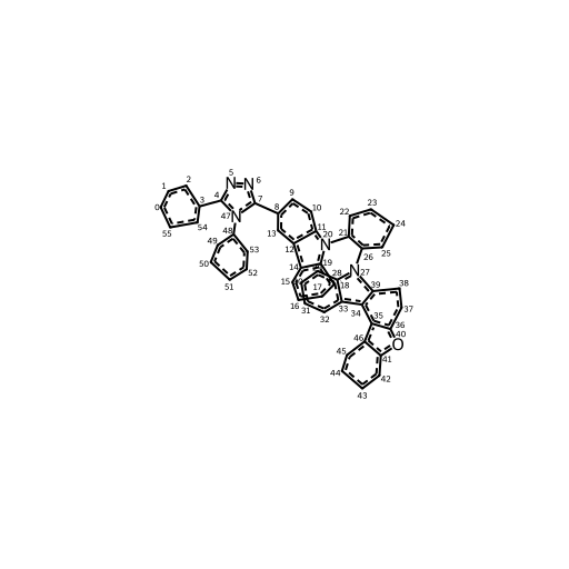 c1ccc(-c2nnc(-c3ccc4c(c3)c3ccccc3n4-c3ccccc3-n3c4ccccc4c4c5c(ccc43)oc3ccccc35)n2-c2ccccc2)cc1